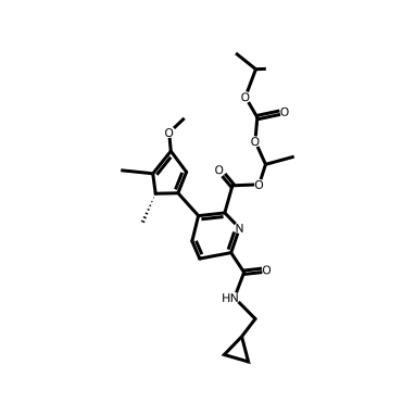 COC1=C(C)[C@@H](C)C(c2ccc(C(=O)NCC3CC3)nc2C(=O)OC(C)OC(=O)OC(C)C)=C1